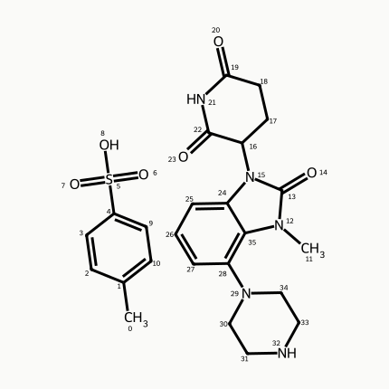 Cc1ccc(S(=O)(=O)O)cc1.Cn1c(=O)n(C2CCC(=O)NC2=O)c2cccc(N3CCNCC3)c21